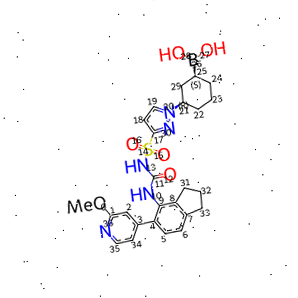 COc1cc(-c2ccc3c(c2NC(=O)NS(=O)(=O)c2ccn([C@@H]4CCC[C@H](B(O)O)C4)n2)CCC3)ccn1